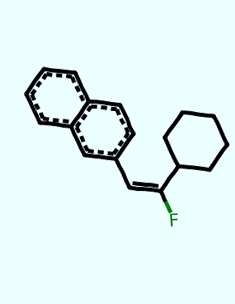 F/C(=C/c1ccc2ccccc2c1)C1CCCCC1